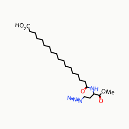 COC(=O)C(CCN=[N+]=[N-])NC(=O)CCCCCCCCCCCCCCCCC(=O)O